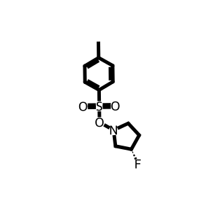 Cc1ccc(S(=O)(=O)ON2CC[C@H](F)C2)cc1